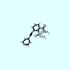 CS(=O)(=O)c1c(C#Cc2ccncc2)cccc1C(N)=O